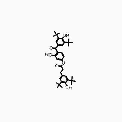 CC(C)(C)c1cc(CCC(=O)Oc2ccc(C(=O)c3cc(C(C)(C)C)c(O)c(C(C)(C)C)c3)c(O)c2)cc(C(C)(C)C)c1O